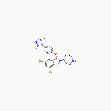 Cc1nnc(C)n1-c1ccc(O[C@@H]2c3cc(Cl)cc(Cl)c3C[C@@H]2N2CCCNCC2)cc1